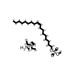 C=C.CCCCCCCC/C=C\CCCCCCCCOS(=O)(=O)OC.CCNCC.CN